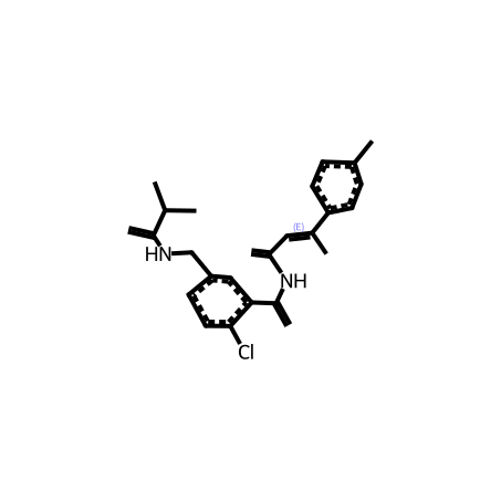 C=C(/C=C(\C)c1ccc(C)cc1)NC(=C)c1cc(CNC(=C)C(C)C)ccc1Cl